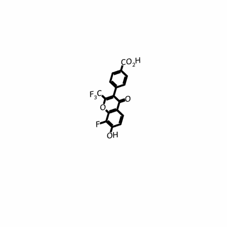 O=C(O)c1ccc(-c2c(C(F)(F)F)oc3c(F)c(O)ccc3c2=O)cc1